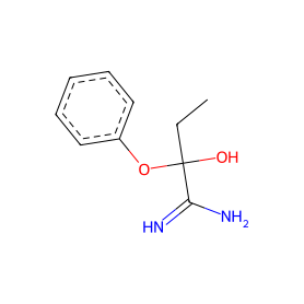 CCC(O)(Oc1ccccc1)C(=N)N